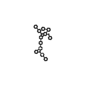 C1=CC(N2C3=CC=C(c4ccc(-c5ccc6c(c5)c5cc(Sc7ccccc7)c(-c7ccccc7-c7ccccc7)cc5n6-c5ccc(-c6ccccc6)cc5)cc4)CC3c3ccccc32)CC=C1c1ccccc1